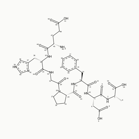 C[C@H](NC(=O)[C@H](CC(=O)O)NC(=O)[C@H](Cc1ccccc1)NC(=O)[C@@H]1CCCN1C(=O)CNC(=O)[C@H](Cc1c[nH]cn1)NC(=O)[C@@H](N)CCC(=O)O)C(=O)O